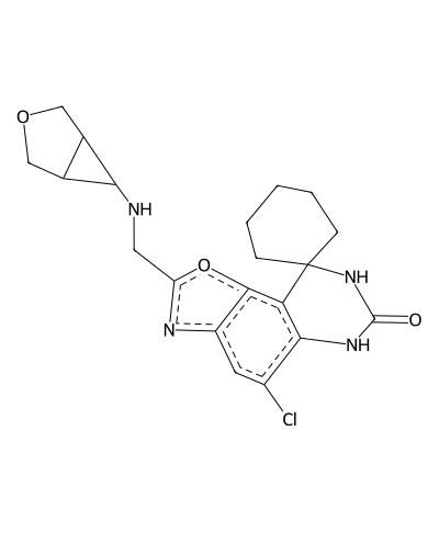 O=C1Nc2c(Cl)cc3nc(CNC4C5COCC54)oc3c2C2(CCCCC2)N1